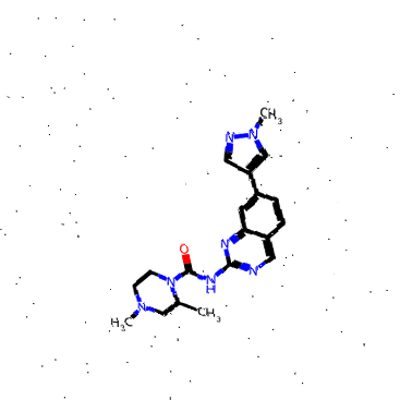 CC1CN(C)CCN1C(=O)Nc1ncc2ccc(-c3cnn(C)c3)cc2n1